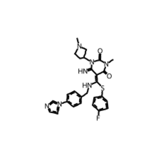 CN1CCC(N2C(=N)/C(=C(\NCc3ccc(-n4ccnc4)cc3)Sc3ccc(F)cc3)C(=O)N(C)C2=O)C1